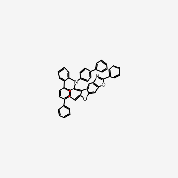 c1ccc(-c2ccc(-c3ccccc3N(c3ccc(-c4ccccc4)cc3)c3cccc4oc5cc6oc(-c7ccccc7)nc6cc5c34)cc2)cc1